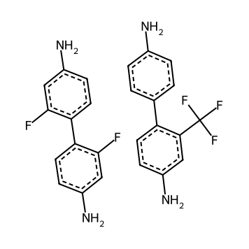 Nc1ccc(-c2ccc(N)cc2C(F)(F)F)cc1.Nc1ccc(-c2ccc(N)cc2F)c(F)c1